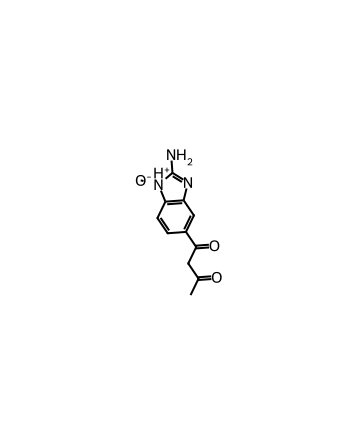 CC(=O)CC(=O)c1ccc2c(c1)N=C(N)[NH+]2[O-]